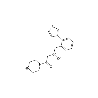 O=C(C[S+]([O-])Cc1ccccc1-c1ccsc1)N1CCNCC1